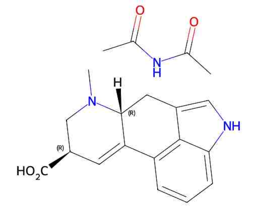 CC(=O)NC(C)=O.CN1C[C@H](C(=O)O)C=C2c3cccc4[nH]cc(c34)C[C@H]21